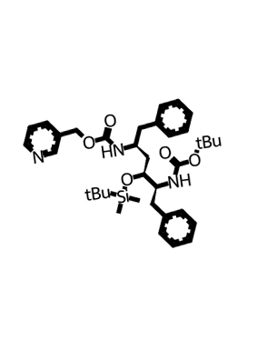 CC(C)(C)OC(=O)N[C@@H](Cc1ccccc1)[C@H](C[C@H](Cc1ccccc1)NC(=O)OCc1cccnc1)O[Si](C)(C)C(C)(C)C